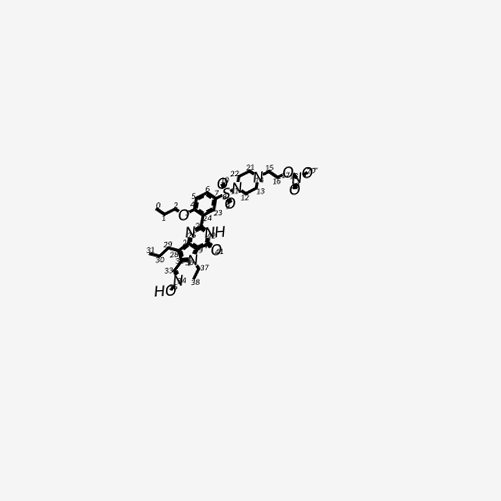 CCCOc1ccc(S(=O)(=O)N2CCN(CCO[N+](=O)[O-])CC2)cc1-c1nc2c(CCC)c(/C=N/O)n(CC)c2c(=O)[nH]1